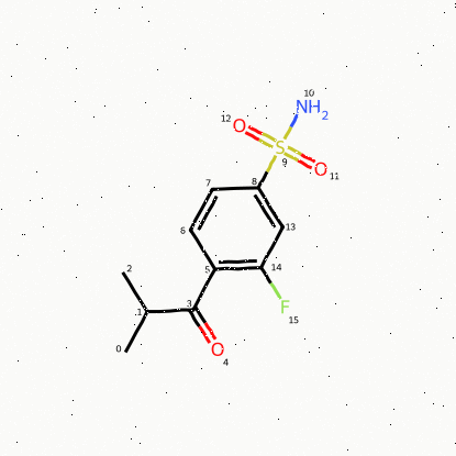 CC(C)C(=O)c1ccc(S(N)(=O)=O)cc1F